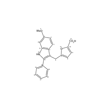 COc1ccc2c(Cc3ccc(C(=O)O)o3)c(-c3ccccc3)[nH]c2c1